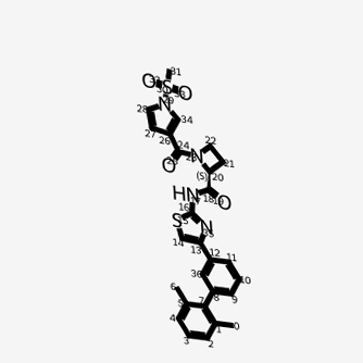 Cc1cccc(C)c1-c1cccc(-c2csc(NC(=O)[C@@H]3CCN3C(=O)c3ccn(S(C)(=O)=O)c3)n2)c1